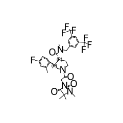 Cc1cc(F)ccc1[C@@H]1CN(C(=O)CN2C(=O)N(C)C(C)(C)C2=O)CC[C@H]1C(=O)N(C)Cc1cc(C(F)(F)F)cc(C(F)(F)F)c1